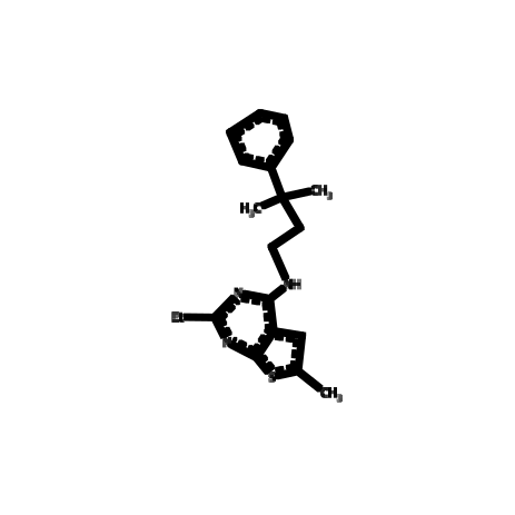 CCc1nc(NCCC(C)(C)c2ccccc2)c2cc(C)sc2n1